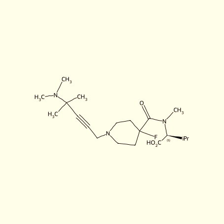 CC(C)[C@@H](C(=O)O)N(C)C(=O)C1(F)CCN(CC#CC(C)(C)N(C)C)CC1